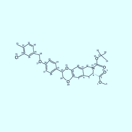 COC(=O)[C@@H]1Cc2cc3c(cc2CN1C(=O)OC(C)(C)C)OC(c1ccc(OCc2ccc(C)c(Cl)c2)cc1)CO3